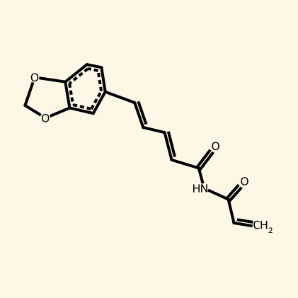 C=CC(=O)NC(=O)C=CC=Cc1ccc2c(c1)OCO2